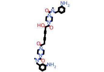 CN(Cc1cccc(N)c1)C(=O)N1CCN(C(=O)CC#CC#CC(O)C(=O)N2CCN(C(=O)N(C)Cc3cccc(N)c3)CC2)CC1